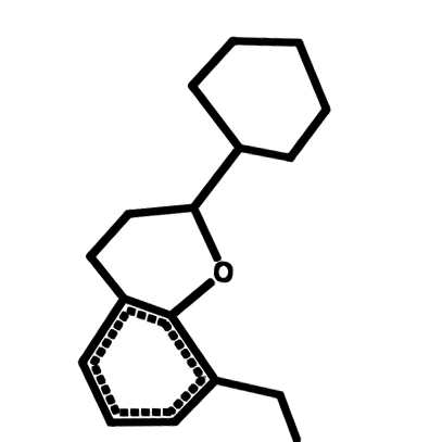 FCc1cccc2c1OC(C1CCCCC1)CC2